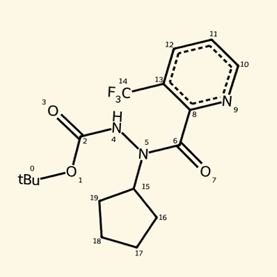 CC(C)(C)OC(=O)NN(C(=O)c1ncccc1C(F)(F)F)C1CCCC1